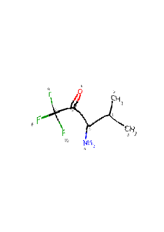 CC(C)C(N)C(=O)C(F)(F)F